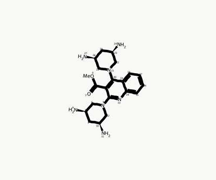 COC(=O)c1c(N2C[C@H](N)C[C@H](N)C2)nc2ccccc2c1N1C[C@H](N)C[C@H](N)C1